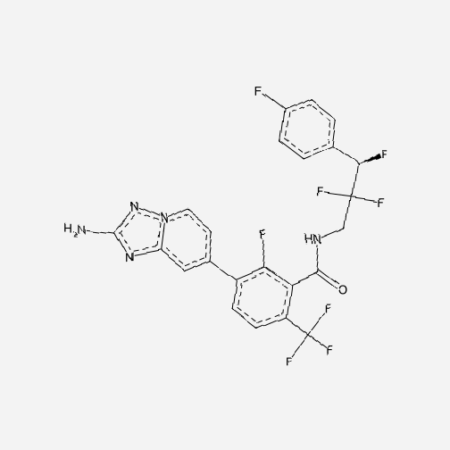 Nc1nc2cc(-c3ccc(C(F)(F)F)c(C(=O)NCC(F)(F)[C@H](F)c4ccc(F)cc4)c3F)ccn2n1